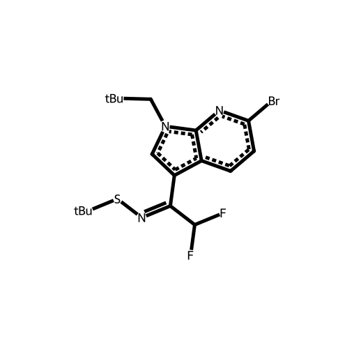 CC(C)(C)Cn1cc(/C(=N\SC(C)(C)C)C(F)F)c2ccc(Br)nc21